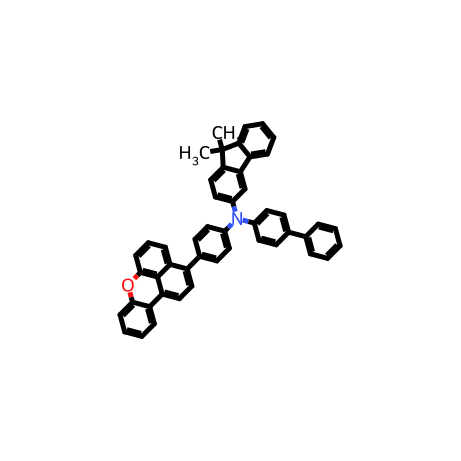 CC1(C)c2ccccc2-c2cc(N(c3ccc(-c4ccccc4)cc3)c3ccc(-c4ccc5c6c(cccc46)Oc4ccccc4-5)cc3)ccc21